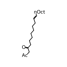 CCCCCCCCC=CCCCCCCCC(=O)CC(C)=O